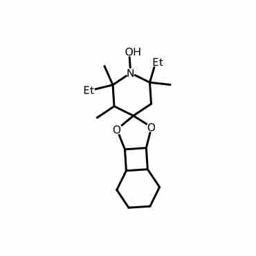 CCC1(C)CC2(OC3C4CCCCC4C3O2)C(C)C(C)(CC)N1O